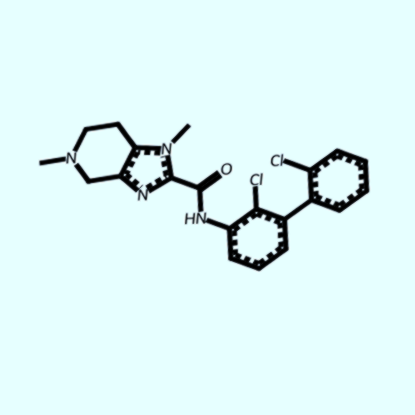 CN1CCc2c(nc(C(=O)Nc3cccc(-c4ccccc4Cl)c3Cl)n2C)C1